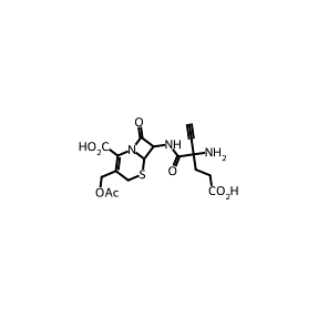 C#CC(N)(CCC(=O)O)C(=O)NC1C(=O)N2C(C(=O)O)=C(COC(C)=O)CSC12